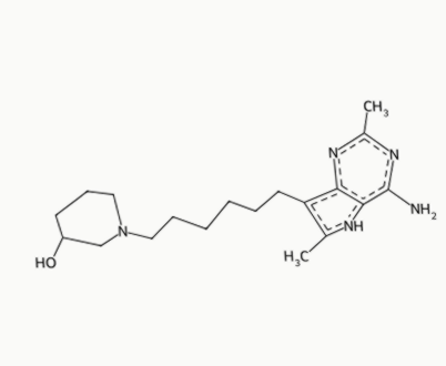 Cc1nc(N)c2[nH]c(C)c(CCCCCCN3CCCC(O)C3)c2n1